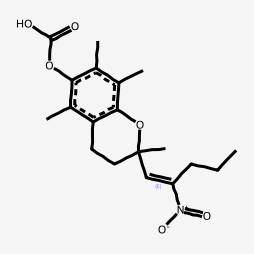 CCC/C(=C\C1(C)CCc2c(C)c(OC(=O)O)c(C)c(C)c2O1)[N+](=O)[O-]